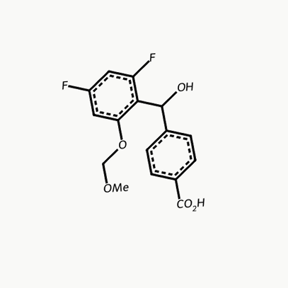 COCOc1cc(F)cc(F)c1C(O)c1ccc(C(=O)O)cc1